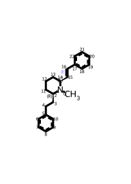 CN1[C@@H](CCc2ccccc2)CCC[C@H]1/C=C/c1ccccc1